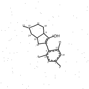 Cc1cc(C)c(C2=C(O)C3CCC(C)CC3C2)c(C)c1